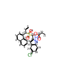 C=CC(c1cccc2ccccc12)S(=O)(=O)C(OC(=O)CC)c1cc2cc(Cl)ccc2[nH]1